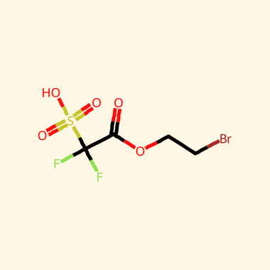 O=C(OCCBr)C(F)(F)S(=O)(=O)O